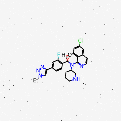 CCn1cc(-c2ccc(C(=O)N(c3nccc4cc(Cl)cc(C)c34)[C@@H]3CCCNC3)c(F)c2)nn1